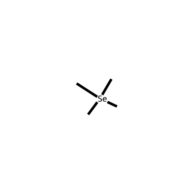 C[Se](C)(C)C